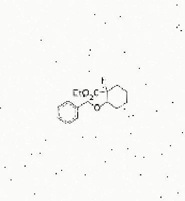 CCOC(=O)C1(F)CCCCC1OCc1ccccc1